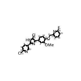 COc1cc(-c2nc(-c3ccc(Cl)nc3)[nH]c2Cl)ccc1OCc1cccc(F)n1